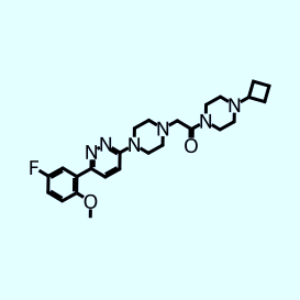 COc1ccc(F)cc1-c1ccc(N2CCN(CC(=O)N3CCN(C4CCC4)CC3)CC2)nn1